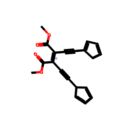 COC(=O)/C(C#CC1=CC=CC1)=C(/C#CC1C=CC=C1)C(=O)OC